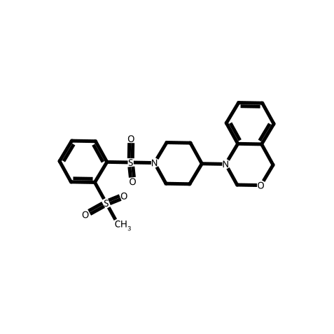 CS(=O)(=O)c1ccccc1S(=O)(=O)N1CCC(N2COCc3ccccc32)CC1